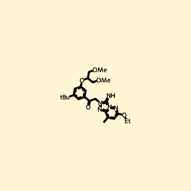 CCOc1cc(C)c2nn(CC(=O)c3cc(OC(COC)COC)cc(C(C)(C)C)c3)c(=N)n2n1